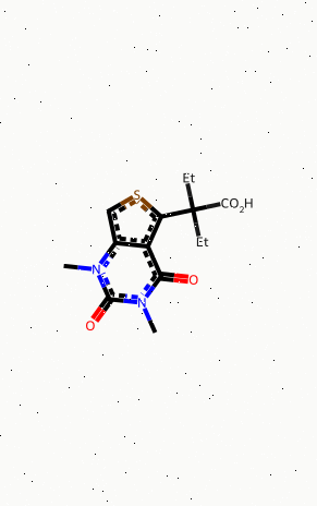 CCC(CC)(C(=O)O)c1scc2c1c(=O)n(C)c(=O)n2C